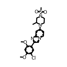 COc1cc(OC)c(-c2cn3ccc(N4CCN(S(C)(=O)=O)CC4C)cc3n2)cc1Cl